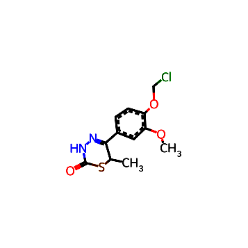 COc1cc(C2=NNC(=O)SC2C)ccc1OCCl